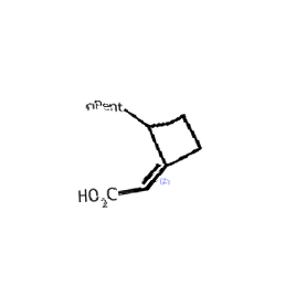 CCCCCC1CC/C1=C/C(=O)O